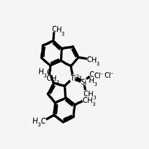 CC1=Cc2c(C)ccc(C)c2[CH]1[Ti+2]([CH]1C(C)=Cc2c(C)ccc(C)c21)=[Si](C)C.[Cl-].[Cl-]